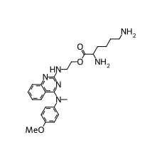 COc1ccc(N(C)c2nc(NCCOC(=O)C(N)CCCCN)nc3ccccc23)cc1